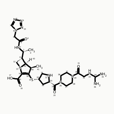 C[C@@H](NC(=O)Cn1cnnn1)[C@H]1CN2C(C(=O)O)=C(S[C@@H]3CN[C@H](C(=O)N4CCN(C(=O)CNC(N)N)CC4)C3)[C@H](C)[C@H]12